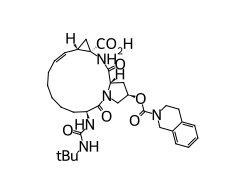 CC(C)(C)NC(=O)N[C@H]1CCCCCC=C[C@@H]2C[C@@]2(C(=O)O)NC(=O)[C@@H]2C[C@@H](OC(=O)N3CCc4ccccc4C3)CN2C1=O